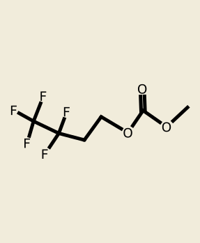 COC(=O)OCCC(F)(F)C(F)(F)F